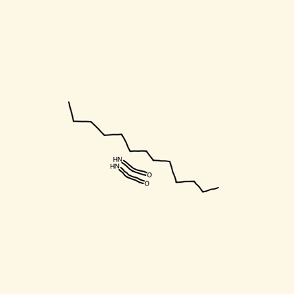 CCCCCCCCCCCCC.N=C=O.N=C=O